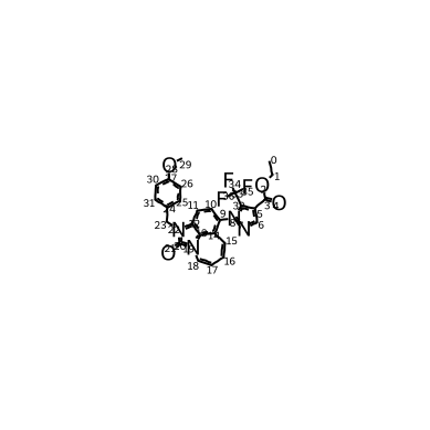 CCOC(=O)c1cnn(-c2ccc3c4c2C=CC=Cn4c(=O)n3Cc2ccc(OC)cc2)c1C(F)(F)F